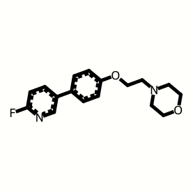 Fc1ccc(-c2ccc(OCCN3CCOCC3)cc2)cn1